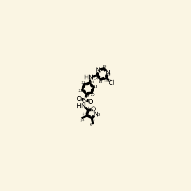 Cc1noc(NS(=O)(=O)c2ccc(Nc3cc(Cl)ncn3)cc2)c1C